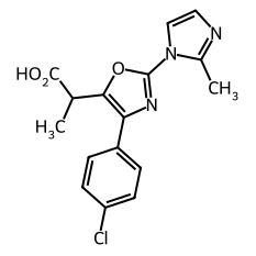 Cc1nccn1-c1nc(-c2ccc(Cl)cc2)c(C(C)C(=O)O)o1